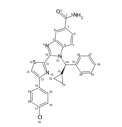 NC(=O)c1ccc2c(c1)nc(-c1nc(-c3ccc(Cl)cc3)cs1)n2[C@@H](c1ccccc1)C1CC1